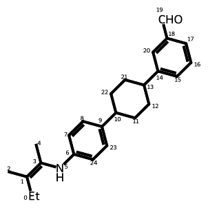 CC/C(C)=C(/C)Nc1ccc(C2CCC(c3cccc(C=O)c3)CC2)cc1